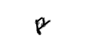 CCCCCCCCC(CC)OC(=O)CCCCCCCN(CCCCCCCC(=O)OC(CCCCCCCC)CCCCCCCC)Cc1ccc(OC)cc1